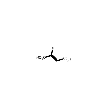 O=S(=O)(O)C=C(F)S(=O)(=O)O